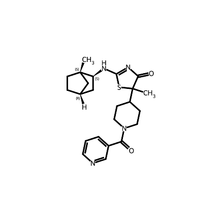 CC1(C2CCN(C(=O)c3cccnc3)CC2)SC(N[C@H]2C[C@@H]3CC[C@@]2(C)C3)=NC1=O